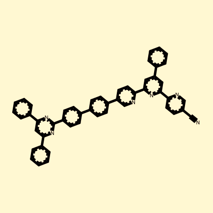 N#Cc1ccc(-c2cc(-c3ccccc3)cc(-c3ccc(-c4ccc(-c5ccc(-c6nc(-c7ccccc7)cc(-c7ccccc7)n6)cc5)cc4)cn3)n2)nc1